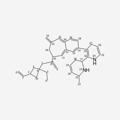 C=CC1CC(CC)(CC(=C)C2C=c3cc(C4=C(C5CC=CC(C)N5)NC=CC4)ccc3=CC(=C)C2)C1